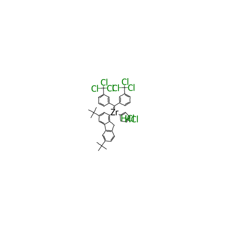 CC(C)(C)c1ccc2c(c1)-c1cc(C(C)(C)C)c[c]([Zr]([C]3=CC=CC3)=[C](c3cccc(C(Cl)(Cl)Cl)c3)c3cccc(C(Cl)(Cl)Cl)c3)c1C2.Cl.Cl